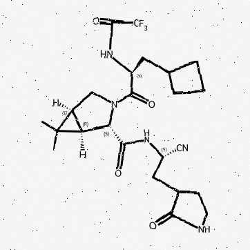 CC1(C)[C@@H]2[C@@H](C(=O)N[C@H](C#N)CC3CCNC3=O)N(C(=O)[C@H](CC3CCC3)NC(=O)C(F)(F)F)C[C@@H]21